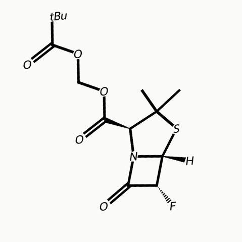 CC(C)(C)C(=O)OCOC(=O)[C@@H]1N2C(=O)[C@@H](F)[C@H]2SC1(C)C